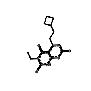 CCn1c(=O)[nH]c2oc(=O)cc(CCC3CCC3)c2c1=O